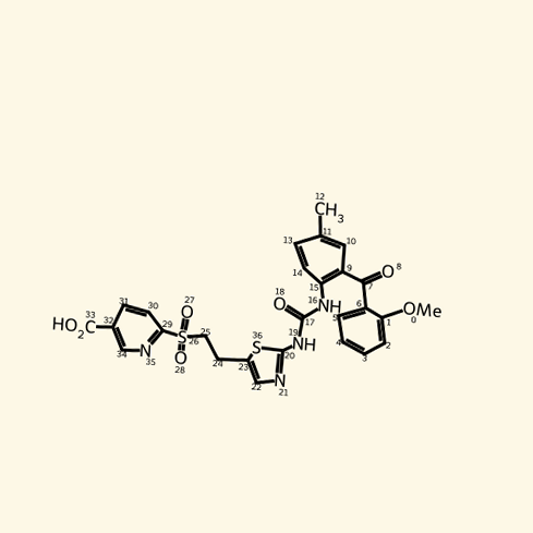 COc1ccccc1C(=O)c1cc(C)ccc1NC(=O)Nc1ncc(CCS(=O)(=O)c2ccc(C(=O)O)cn2)s1